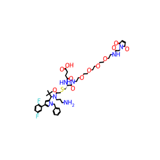 CC(C)(C)[C@H](c1cc(-c2cc(F)ccc2F)cn1Cc1ccccc1)N(CCCN)C(=O)CSC[C@H](NC(=O)CCC(=O)O)C(=O)NCCOCCOCCOCCOCCNC(=O)CN1C(=O)C=CC1=O